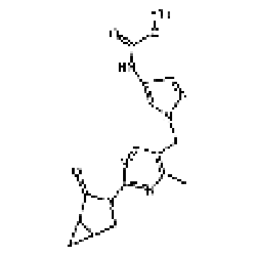 Cc1nc(N2CC3CC3C2=O)ncc1Cn1cc(NC(=O)OC(C)(C)C)cn1